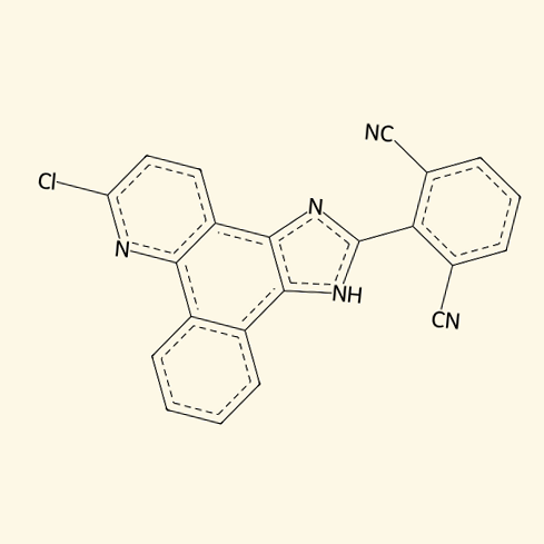 N#Cc1cccc(C#N)c1-c1nc2c3ccc(Cl)nc3c3ccccc3c2[nH]1